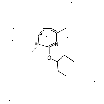 CCC(CC)OC1=NC(C)=CC=C[C@H]1C